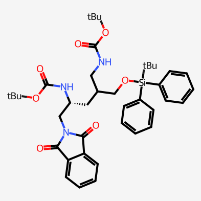 CC(C)(C)OC(=O)NCC(CO[Si](c1ccccc1)(c1ccccc1)C(C)(C)C)C[C@H](CN1C(=O)c2ccccc2C1=O)NC(=O)OC(C)(C)C